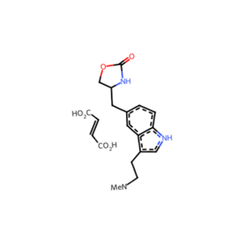 CNCCc1c[nH]c2ccc(CC3COC(=O)N3)cc12.O=C(O)C=CC(=O)O